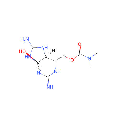 CN(C)C(=O)OC[C@@H]1NC(=N)N2CC[C@H](O)[C@@]23NC(N)N[C@@H]13